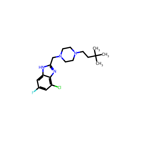 CC(C)(C)CCN1CCN(Cc2nc3c(Cl)cc(F)cc3[nH]2)CC1